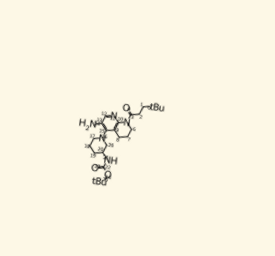 CC(C)(C)CCC(=O)N1CCCc2c1ncc(N)c2N1CCC[C@H](NC(=O)OC(C)(C)C)C1